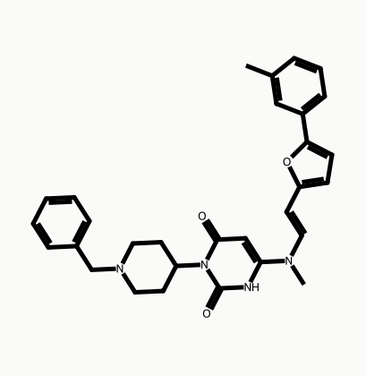 Cc1cccc(-c2ccc(/C=C/N(C)c3cc(=O)n(C4CCN(Cc5ccccc5)CC4)c(=O)[nH]3)o2)c1